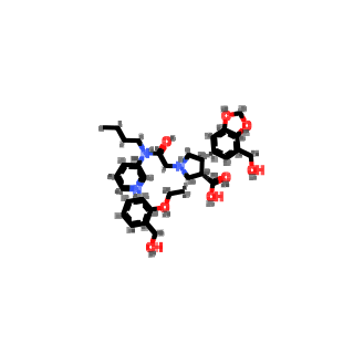 CCCCN(C(=O)CN1C[C@H](c2cc(CO)c3c(c2)OCO3)[C@@H](C(=O)O)[C@@H]1CCOc1ccccc1CO)c1cccnc1